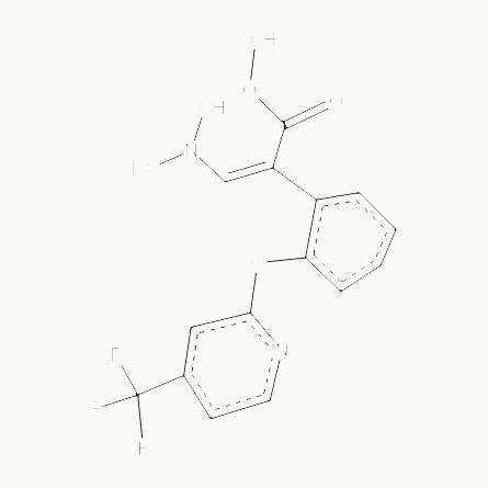 COC(=O)/C(=C\N(C)C)c1ccccc1Oc1cc(C(F)(F)F)ccn1